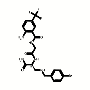 NC(=O)[C@H](CNCc1ccc(Br)cc1)NC(=O)CNC(=O)c1cc(C(F)(F)F)ccc1N